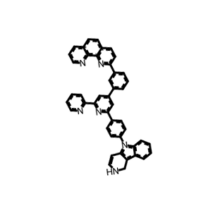 C1=Cc2c(c3ccccc3n2-c2ccc(-c3cc(-c4cccc(-c5ccc6ccc7cccnc7c6n5)c4)cc(-c4ccccn4)n3)cc2)CN1